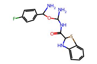 NC(NC(=O)C1Nc2ccccc2S1)OC(N)c1ccc(F)cc1